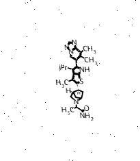 Cc1c(-c2[nH]c3sc([C@@H]4CC5C[C@H]4CN5C(C)C(N)=O)c(C)c3c2C(C)C)cn2ncnc2c1C